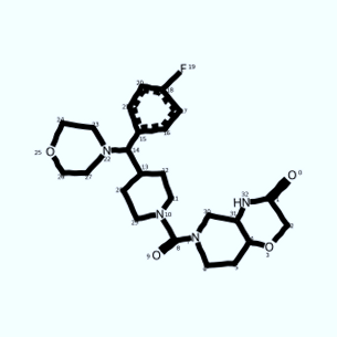 O=C1COC2CCN(C(=O)N3CCC(C(c4ccc(F)cc4)N4CCOCC4)CC3)CC2N1